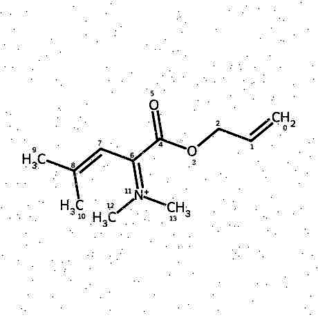 C=CCOC(=O)C(C=C(C)C)=[N+](C)C